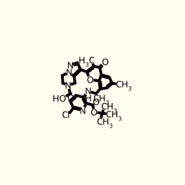 Cc1cc(C(C)Nc2ccc(Cl)nc2C(=O)OC(C)(C)C)c2oc(-c3cnn4c3CN(C(=O)O)CC4)c(C)c(=O)c2c1